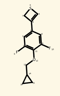 Fc1cc(C2=CSC2)cc(F)c1OCC1CC1